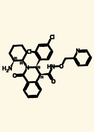 N[C@@H]1CCCC[C@H]1N1C(=O)c2ccccc2[C@H](C(=O)NOCc2ccccn2)[C@H]1c1ccc(Cl)cc1Cl